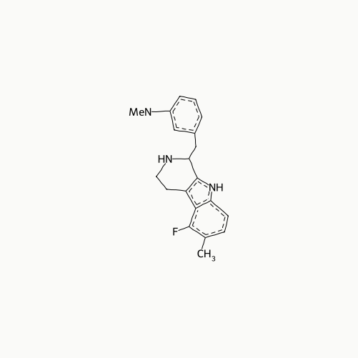 CNc1cccc(CC2NCCc3c2[nH]c2ccc(C)c(F)c32)c1